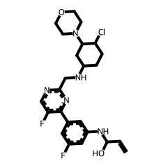 C=CC(O)Nc1cc(F)cc(-c2nc(CNC3CCC(Cl)C(N4CCOCC4)C3)ncc2F)c1